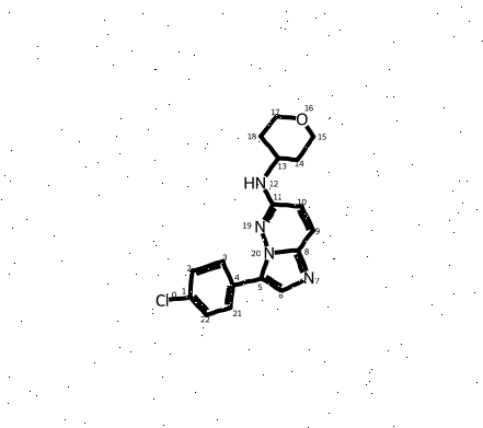 Clc1ccc(-c2cnc3ccc(NC4CCOCC4)nn23)cc1